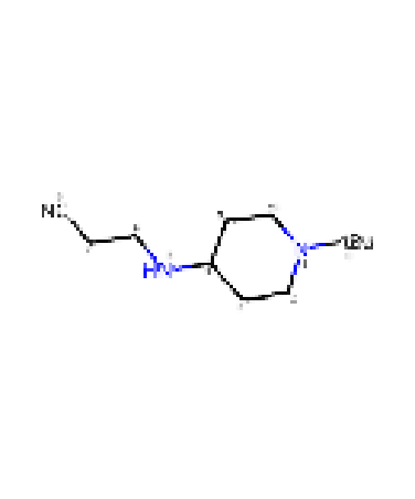 CC(C)(C)N1CCC(NCCC#N)CC1